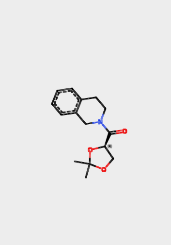 CC1(C)OC[C@H](C(=O)N2CCc3ccccc3C2)O1